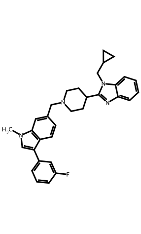 Cn1cc(-c2cccc(F)c2)c2ccc(CN3CCC(c4nc5ccccc5n4CC4CC4)CC3)cc21